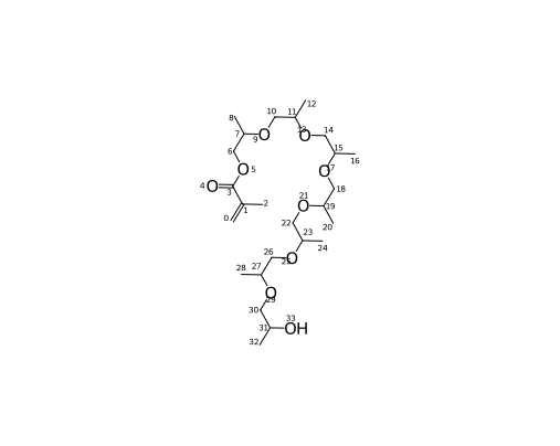 C=C(C)C(=O)OCC(C)OCC(C)OCC(C)OCC(C)OCC(C)OCC(C)OCC(C)O